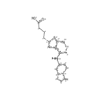 O=C(O)CCCc1nc2c(Nc3ccc4[nH]ncc4c3)ncnc2s1